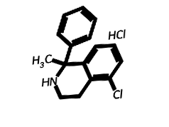 CC1(c2ccccc2)NCCc2c(Cl)cccc21.Cl